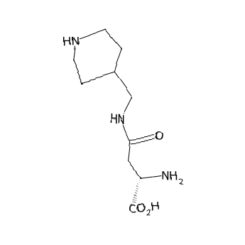 N[C@@H](CC(=O)NCC1CCNCC1)C(=O)O